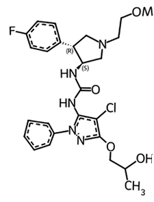 COCCN1C[C@@H](NC(=O)Nc2c(Cl)c(OCC(C)O)nn2-c2ccccc2)[C@H](c2ccc(F)cc2)C1